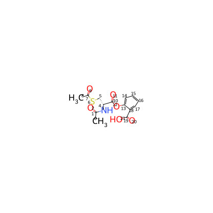 CC(=O)N[C@H](CSC(C)=O)C(=O)Oc1ccccc1C(=O)O